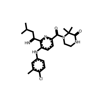 Cc1cc(Nc2ccc(C(=O)N3CCNC(=O)C3(C)C)nc2C(=N)CC(C)C)ccc1Cl